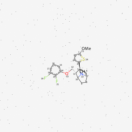 COc1ccc([C@H]2CC3CCC([C@@H]2COc2cccc(F)c2F)N3C)s1